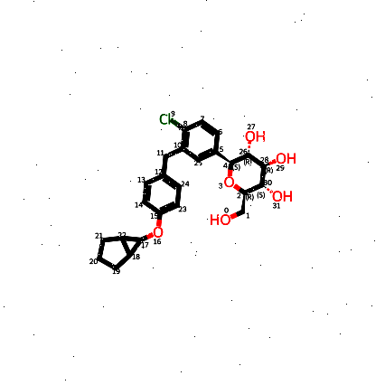 OC[C@H]1O[C@@H](c2ccc(Cl)c(Cc3ccc(OC4C5CCCC54)cc3)c2)[C@H](O)[C@@H](O)[C@@H]1O